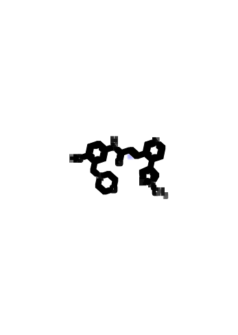 Cn1cc(-c2ccncc2/C=C/C(=O)Nc2ccc(O)c(CN3CCOCC3)c2)cn1